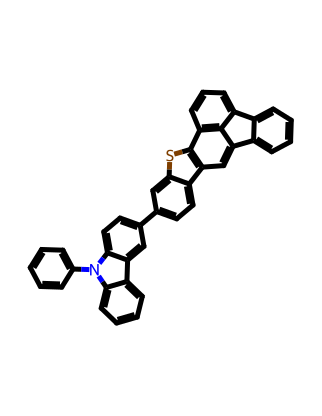 c1ccc(-n2c3ccccc3c3cc(-c4ccc5c(c4)sc4c6cccc7c6c(cc54)-c4ccccc4-7)ccc32)cc1